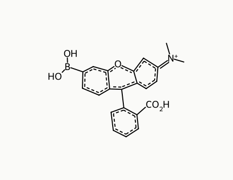 C[N+](C)=c1ccc2c(-c3ccccc3C(=O)O)c3ccc(B(O)O)cc3oc-2c1